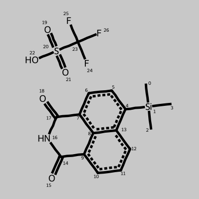 C[Si](C)(C)c1ccc2c3c(cccc13)C(=O)NC2=O.O=S(=O)(O)C(F)(F)F